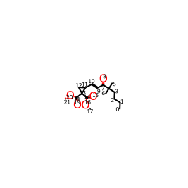 CCCCC(C)(C)C(=O)/C=C/C1CC1(C(=O)OC)C(=O)OC